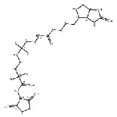 CC(C)(CCNC(=O)CCCCC1SCC2NC(=O)NC21)OCCC(C)(C)C(=O)ON1C(=O)CCC1=O